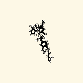 CN(C)CCN1CCc2cc(Nc3ncc4cc(C#N)c(=O)n(C5CCCC5(C)O)c4n3)ccc2C1